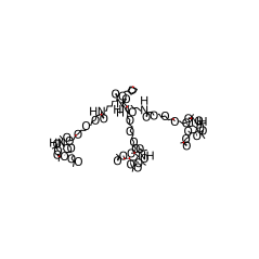 CC(=O)NC1[C@H](OCCOCCOCCOCC(=O)NCCCC[C@H](NC(=O)[C@H](CCCCNC(=O)COCCOCCOCCO[C@@H]2O[C@H](COC(C)=O)[C@H](OC(C)=O)[C@H](OC(C)=O)[C@H]2NC(C)=O)NC(=O)COCCOCCOCO[C@@H]2O[C@H](COC(C)=O)[C@H](OC(C)=O)[C@H](OC(C)=O)[C@H]2NC(C)=O)C(=O)OCc2ccccc2)O[C@H](COC(C)=O)[C@H](OC(C)=O)[C@@H]1OC(C)=O